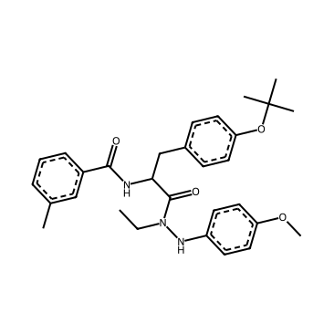 CCN(Nc1ccc(OC)cc1)C(=O)C(Cc1ccc(OC(C)(C)C)cc1)NC(=O)c1cccc(C)c1